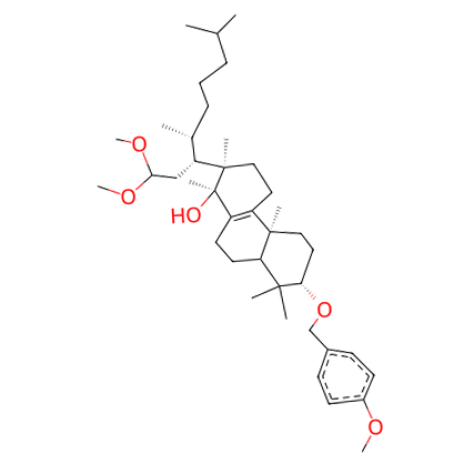 COc1ccc(CO[C@H]2CC[C@]3(C)C4=C(CCC3C2(C)C)[C@@](C)(O)[C@@](C)([C@H](CC(OC)OC)[C@H](C)CCCC(C)C)CC4)cc1